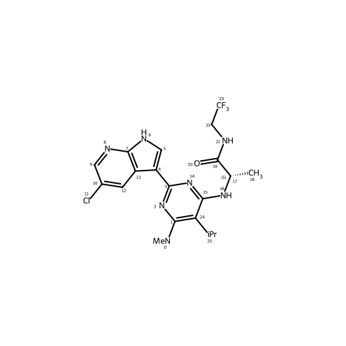 CNc1nc(-c2c[nH]c3ncc(Cl)cc23)nc(N[C@@H](C)C(=O)NCC(F)(F)F)c1C(C)C